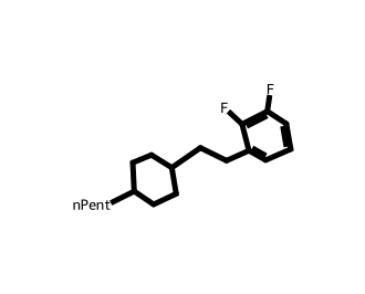 CCCCCC1CCC(CCc2cccc(F)c2F)CC1